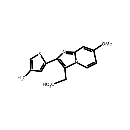 COc1ccn2c(CC(=O)O)c(-c3cc(C)cs3)nc2c1